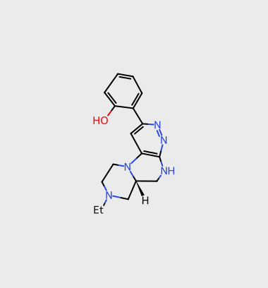 CCN1CCN2c3cc(-c4ccccc4O)nnc3NC[C@@H]2C1